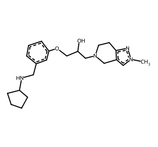 Cn1cc2c(n1)CCN(CC(O)COc1cccc(CNC3CCCC3)c1)C2